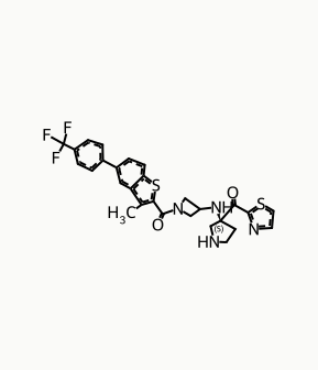 Cc1c(C(=O)N2CC(N[C@@]3(C(=O)c4nccs4)CCNC3)C2)sc2ccc(-c3ccc(C(F)(F)F)cc3)cc12